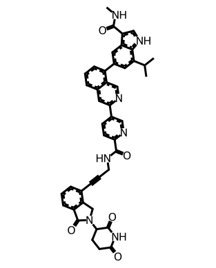 CNC(=O)c1c[nH]c2c(C(C)C)cc(-c3cccc4cc(-c5ccc(C(=O)NCC#Cc6cccc7c6CN(C6CCC(=O)NC6=O)C7=O)nc5)ncc34)cc12